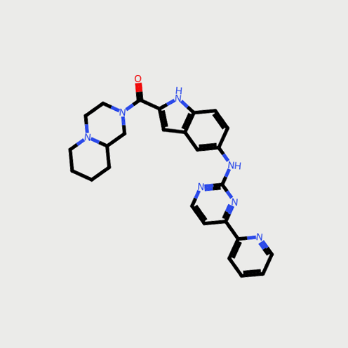 O=C(c1cc2cc(Nc3nccc(-c4ccccn4)n3)ccc2[nH]1)N1CCN2CCCCC2C1